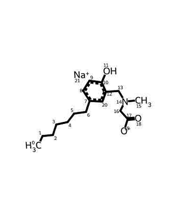 CCCCCCCc1ccc(O)c(CN(C)CC(=O)[O-])c1.[Na+]